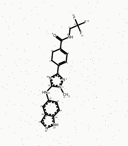 Cn1nc(C2=CC=C(C(=O)NCC(F)(F)F)CC2)nc1Nc1ccc2[nH]ncc2c1